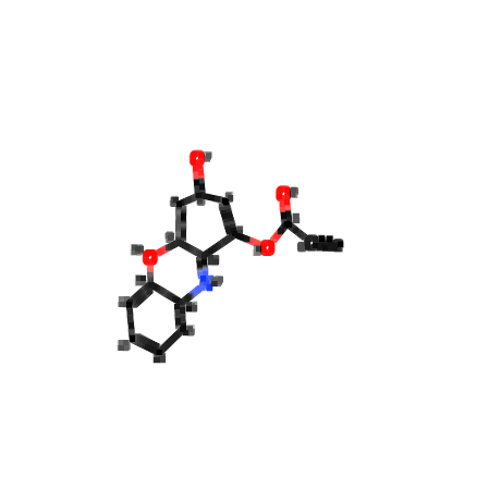 COC(=O)Oc1cc(=O)cc2oc3ccccc3nc1-2